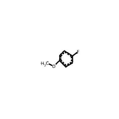 [CH2]Oc1ccc(F)cc1